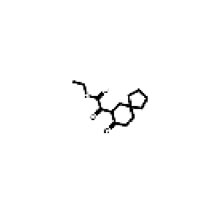 CCOC(=O)C(=O)C1CC2(CCCC2)CCC1=O